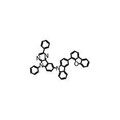 c1ccc(-c2cnc3c(n2)c2cc(-n4c5ccccc5c5cc(-c6cccc7c6oc6ccccc67)ccc54)ccc2n3-c2ccccc2)cc1